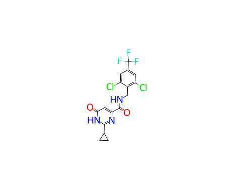 O=C(NCc1c(Cl)cc(C(F)(F)F)cc1Cl)c1cc(=O)[nH]c(C2CC2)n1